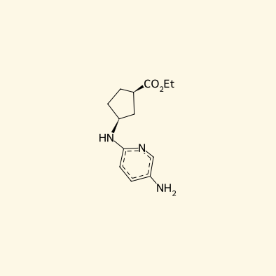 CCOC(=O)[C@@H]1CC[C@H](Nc2ccc(N)cn2)C1